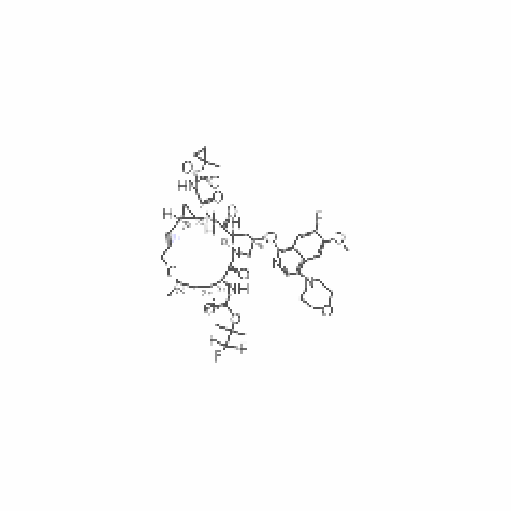 CC[C@@H]1C[C@@H](C)CC/C=C/[C@@H]2C[C@@]2(C(=O)NS(=O)(=O)C2(C)CC2)NC(=O)[C@@H]2C[C@@H](Oc3ncc(N4CCOCC4)c4cc(OC)c(F)cc34)CN2C(=O)[C@H]1NC(=O)OC(C)(C)C(F)(F)F